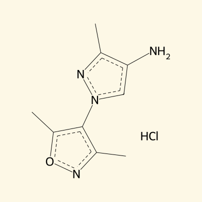 Cc1nn(-c2c(C)noc2C)cc1N.Cl